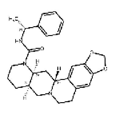 C[C@@H](NC(=O)N1CCC[C@@H]2CN3CCc4cc5c(cc4[C@H]3C[C@@H]21)OCO5)c1ccccc1